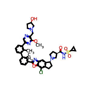 COc1nc(-c2cccc(-c3cccc(-c4nc5cc6c(c(Cl)c5o4)CC[C@H]6N4CC[C@@H](C(=O)NS(=O)(=O)C5CC5)C4)c3C)c2C)cnc1CN1CC[C@@H](O)C1